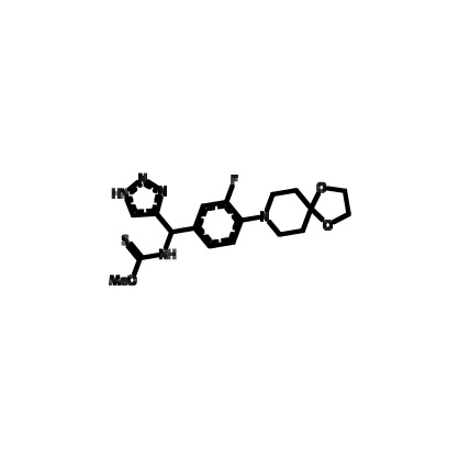 COC(=S)NC(c1ccc(N2CCC3(CC2)OCCO3)c(F)c1)c1c[nH]nn1